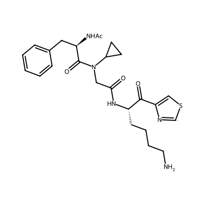 CC(=O)N[C@H](Cc1ccccc1)C(=O)N(CC(=O)N[C@@H](CCCCN)C(=O)c1cs[c]n1)C1CC1